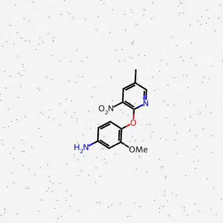 COc1cc(N)ccc1Oc1ncc(C)cc1[N+](=O)[O-]